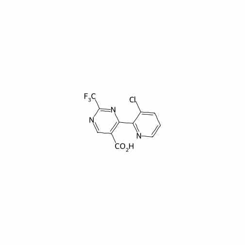 O=C(O)c1cnc(C(F)(F)F)nc1-c1ncccc1Cl